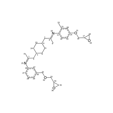 C/C(CC1CCC(C/C(C)=N/c2ccc(OCC3CO3)cc2C)CC1)=N/c1cccc(COCC2CO2)c1